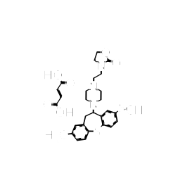 CSc1ccc2c(c1)C(N1CCN(CCN3CCOC3=O)CC1)Cc1cc(C)ccc1S2.O=C(O)C=CC(=O)O